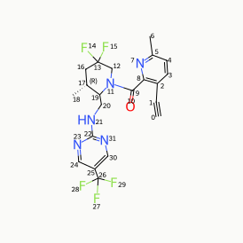 C#Cc1ccc(C)nc1C(=O)N1CC(F)(F)C[C@@H](C)C1CNc1ncc(C(F)(F)F)cn1